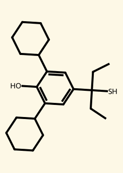 CCC(S)(CC)c1cc(C2CCCCC2)c(O)c(C2CCCCC2)c1